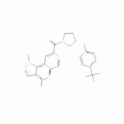 Cn1ncc2c(N)nc3cnc(C(=O)N4CC[C@H](Oc5ccc(C(F)(F)F)cc5)C4)cc3c21